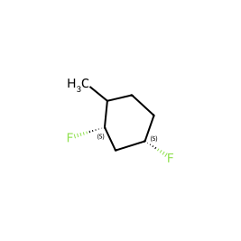 CC1CC[C@H](F)C[C@@H]1F